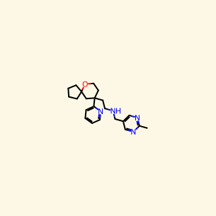 Cc1ncc(CNCCC2(c3ccccn3)CCOC3(CCCC3)C2)cn1